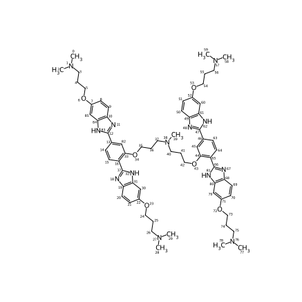 CN(C)CCCOc1ccc2nc(-c3ccc(-c4nc5ccc(OCCCN(C)C)cc5[nH]4)c(OCCCN(C)CCCOc4cc(-c5nc6ccc(OCCCN(C)C)cc6[nH]5)ccc4-c4nc5ccc(OCCCN(C)C)cc5[nH]4)c3)[nH]c2c1